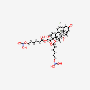 C[C@]12C=CC(=O)C=C1[C@@H](F)CC1C3C[C@@H](O)[C@](OC(=O)CCCCCON(O)O)(C(=O)COC(=O)CCCCCON(O)O)[C@@]3(C)C[C@H](O)[C@@]12F